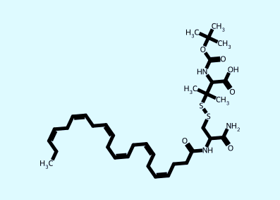 CC/C=C\C/C=C\C/C=C\C/C=C\C/C=C\C/C=C\CCC(=O)NC(CSSC(C)(C)C(NC(=O)OC(C)(C)C)C(=O)O)C(N)=O